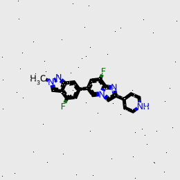 Cn1cc2c(F)cc(-c3cc(F)c4nc(C5CCNCC5)cn4c3)cc2n1